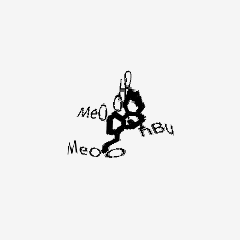 CCCCN1CC[C@]23c4c5c(/C=C/C(=O)OC)cc(OC)c4O[C@H]2C(=O)CCC3C1C5